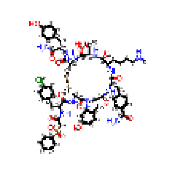 CNCCCCC1NC(=O)[C@@H](Cc2ccc(C(N)=O)cc2)NC(=O)[C@H](Cc2ccc(O)cc2)NC(=O)[C@H](NC(=O)[C@H](Cc2ccc(Cl)cc2)NC(=O)CS(=O)(=O)c2ccccc2)CSSC[C@@H](C(=O)N[C@H](Cc2ccc(O)cc2)C(N)=O)NC(=O)[C@H]([C@@H](C)O)NC1=O